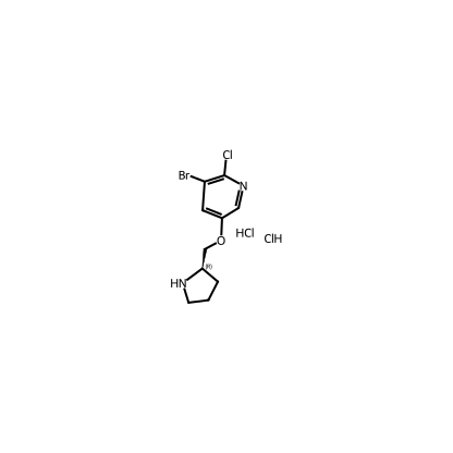 Cl.Cl.Clc1ncc(OC[C@H]2CCCN2)cc1Br